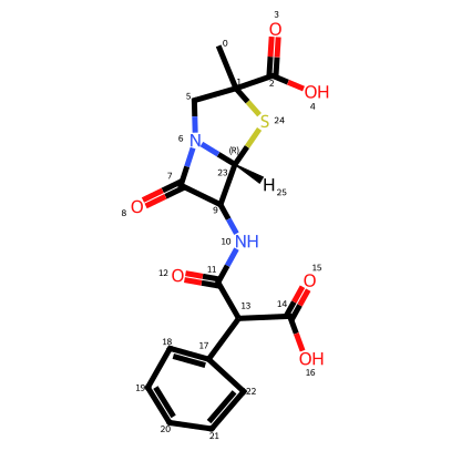 CC1(C(=O)O)CN2C(=O)C(NC(=O)C(C(=O)O)c3ccccc3)[C@H]2S1